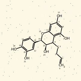 C=CCSC1c2c(O)cc(O)cc2O[C@H](c2ccc(O)c(O)c2)[C@@H]1O